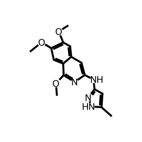 COc1cc2cc(Nc3cc(C)[nH]n3)nc(OC)c2cc1OC